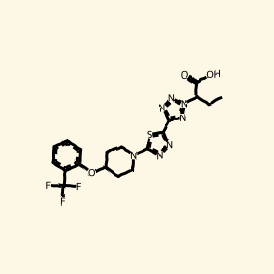 CCC(C(=O)O)n1nnc(-c2nnc(N3CCC(Oc4ccccc4C(F)(F)F)CC3)s2)n1